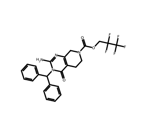 Nc1nc2c(c(=O)n1C(c1ccccc1)c1ccccc1)CCN(C(=O)OCC(F)(F)C(F)(F)F)C2